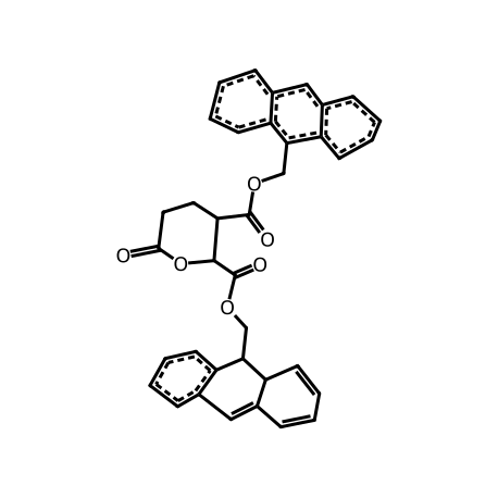 O=C1CCC(C(=O)OCc2c3ccccc3cc3ccccc23)C(C(=O)OCC2c3ccccc3C=C3C=CC=CC32)O1